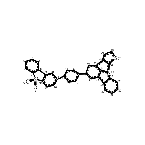 O=S1(=O)c2ccccc2-c2cc(-c3ccc(-c4cc5c6ccccc6n6c7sccc7c(c4)c56)cc3)ccc21